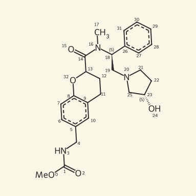 COC(=O)NCc1ccc2c(c1)CCC(C(=O)N(C)[C@H](CN1CC[C@H](O)C1)c1ccccc1)O2